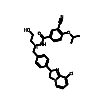 CC(C)Oc1ccc(C(=O)N[C@H](CCO)Cc2ccc(C3CN4C=CC=C(Cl)C4=N3)cc2)cc1C#N